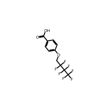 O=C(O)c1ccc(OCC(F)(F)C(F)(F)C(F)(F)F)cc1